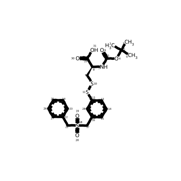 CC(C)(C)OC(=O)N[C@@H](CSSc1cccc(CS(=O)(=O)Cc2ccccc2)c1)C(=O)O